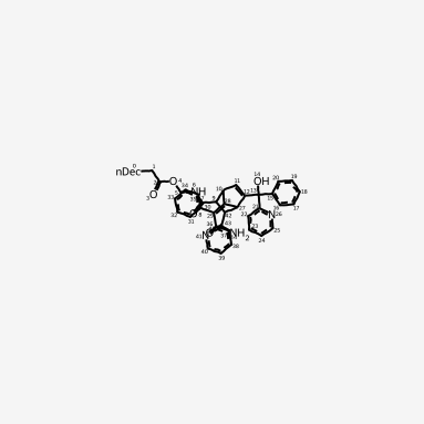 CCCCCCCCCCCC(=O)OCNC(=O)C1C2C=C(C(O)(c3ccccc3)c3ccccn3)C(C2=C(c2ccccc2)c2ccccn2)C1C(N)=O